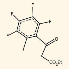 CCOC(=O)CC(=O)c1c(C)c(F)c(F)c(F)c1F